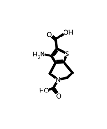 Nc1c(C(=O)O)sc2c1CN(C(=O)O)CC2